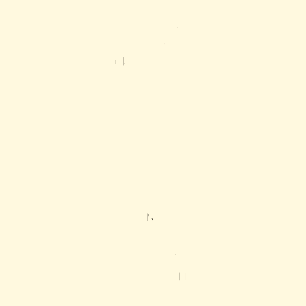 Cc1cc(-c2ccc(C3CC3)c(Cl)c2)cc2c1C(N1CCC(C)(O)CC1)CC2